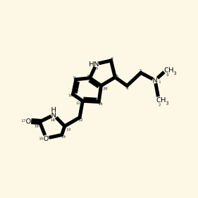 CN(C)CCC1CNc2ccc(CC3COC(=O)N3)cc21